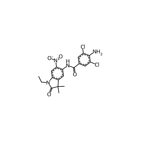 CCN1C(=O)C(C)(C)c2cc(NC(=O)c3cc(Cl)c(N)c(Cl)c3)c([N+](=O)[O-])cc21